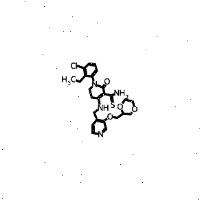 CCc1c(Cl)cccc1N1CCC(NCc2ccncc2OCC2COCCO2)=C(C(N)=S)C1=O